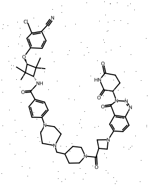 CC1(C)[C@H](NC(=O)c2ccc(N3CCN(CC4CCN(C(=O)C5CN(c6ccc7nnn(C8CCC(=O)NC8=O)c(=O)c7c6)C5)CC4)CC3)cc2)C(C)(C)[C@H]1Oc1ccc(C#N)c(Cl)c1